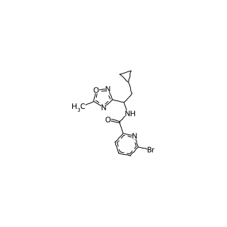 Cc1nc(C(CC2CC2)NC(=O)c2cccc(Br)n2)no1